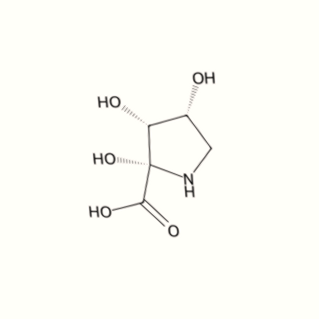 O=C(O)[C@]1(O)NC[C@@H](O)[C@H]1O